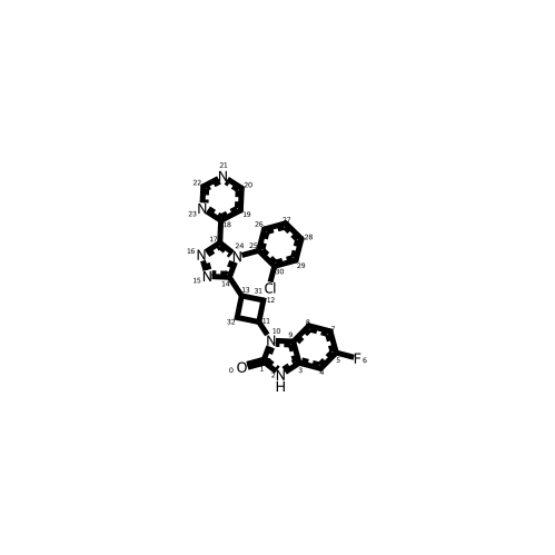 O=c1[nH]c2cc(F)ccc2n1C1CC(c2nnc(-c3ccncn3)n2-c2ccccc2Cl)C1